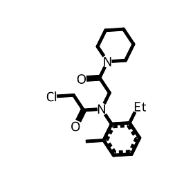 CCc1cccc(C)c1N(CC(=O)N1CCCCC1)C(=O)CCl